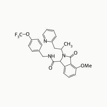 COc1cccc2c1C(=O)N(C(C)Cc1ccccn1)C2C(=O)NCc1ccc(OC(F)(F)F)cc1